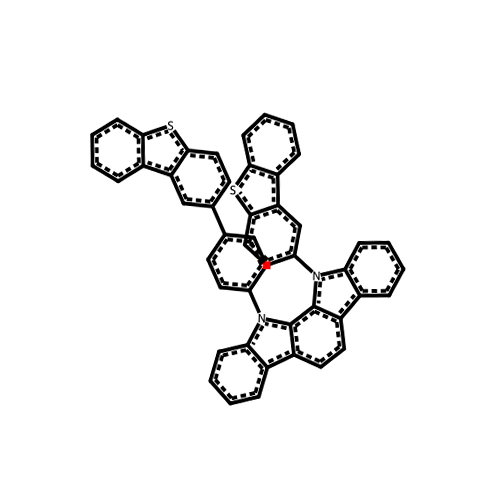 c1ccc2c(c1)sc1ccc(-c3ccc(-n4c5ccccc5c5ccc6c7ccccc7n(-c7ccc8sc9ccccc9c8c7)c6c54)cc3)cc12